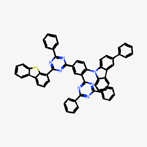 c1ccc(-c2ccc3c(c2)c2ccccc2n3-c2ccc(-c3nc(-c4ccccc4)nc(-c4cccc5c4sc4ccccc45)n3)cc2-c2nc(-c3ccccc3)nc(-c3ccccc3)n2)cc1